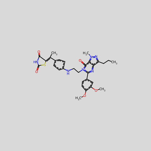 CCCc1nn(C)c2c(=O)n(CCNc3ccc(C(C)=C4SC(=O)NC4=O)cc3)c(-c3ccc(OC)c(OC)c3)nc12